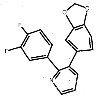 Fc1ccc(-c2ncccc2-c2ccc3c(c2)OCO3)cc1F